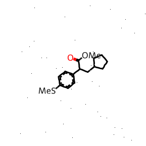 COC(=O)C(CC1CCCC1)c1ccc(SC)cc1